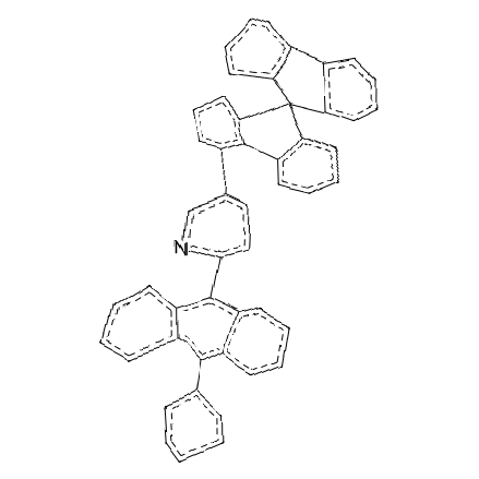 c1ccc(-c2c3ccccc3c(-c3ccc(-c4cccc5c4-c4ccccc4C54c5ccccc5-c5ccccc54)cn3)c3ccccc23)cc1